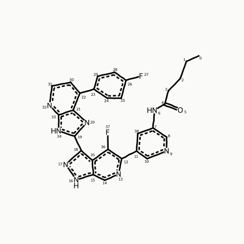 CCCCC(=O)Nc1cncc(-c2ncc3[nH]nc(-c4nc5c(-c6ccc(F)cc6)ccnc5[nH]4)c3c2F)c1